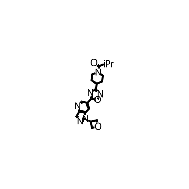 CC(C)C(=O)N1CCC(c2noc(-c3cnc4cnn(C5COC5)c4c3)n2)CC1